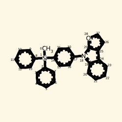 C[Si](c1ccccc1)(c1ccccc1)c1ccc(-n2c3ccccc3c3ccoc32)cc1